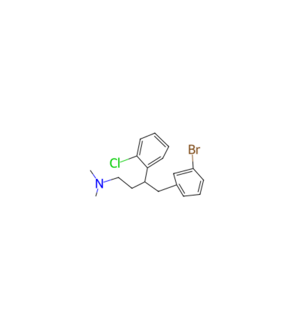 CN(C)CCC(Cc1cccc(Br)c1)c1ccccc1Cl